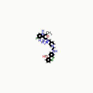 CC(=O)c1[nH]c2ccc(F)cc2c1/C(N)=C/N(N)CC1CCN(CCNc2ccc(-c3c(O)cccc3F)c(F)c2)CC1